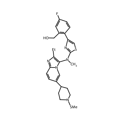 CCc1nc2ccc(C3CCN(SC)CC3)cn2c1N(C)c1nc(-c2ccc(F)cc2CO)cs1